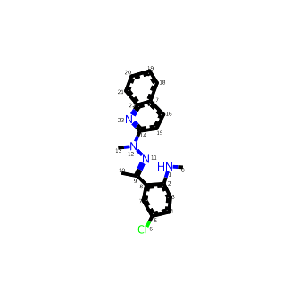 CNc1ccc(Cl)cc1/C(C)=N/N(C)c1ccc2ccccc2n1